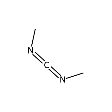 CN=C=NC